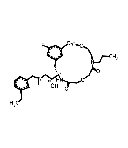 CCCN1CCCCOc2cc(F)cc(c2)C[C@@H]([C@H](O)CNCc2cccc(CC)c2)NC(=O)CCCC1=O